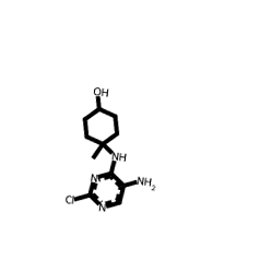 CC1(Nc2nc(Cl)ncc2N)CCC(O)CC1